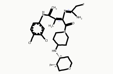 C=C(Nc1ccc(Cl)c(Cl)c1)/C(C)=C(\N=C(/N)CF)C(=O)N1CCC(N[C@@H]2CCOC[C@@H]2F)CC1